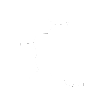 C=CCOCC(C)OCC(C)OCC(C)OC